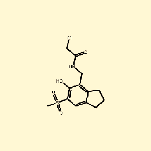 CS(=O)(=O)c1cc2c(c(CNC(=O)CCl)c1O)CCC2